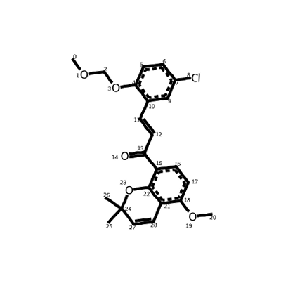 COCOc1ccc(Cl)cc1C=CC(=O)c1ccc(OC)c2c1OC(C)(C)C=C2